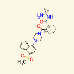 CS(=O)(=O)c1ccc(N2CCN(C(=O)[C@@H]3CCCC[C@H]3C(=O)NC3(N)CC3)CC2)c2ccccc12